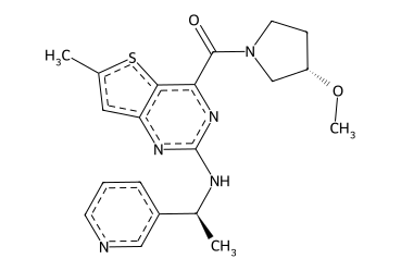 CO[C@H]1CCN(C(=O)c2nc(N[C@@H](C)c3cccnc3)nc3cc(C)sc23)C1